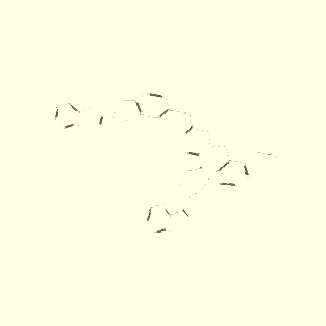 CNCc1ccccc1CN(CC(=O)Nc1ccc2c(c1)C[C@H](C(=O)Nc1ccccn1)C2)C(=O)C1(C)CCN(C(=O)c2ncccn2)CC1